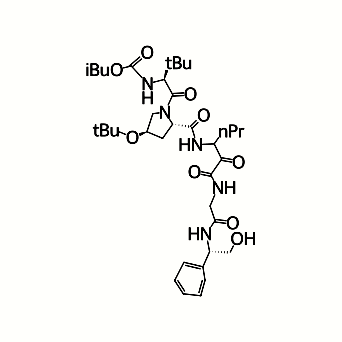 CCCC(NC(=O)[C@@H]1C[C@@H](OC(C)(C)C)CN1C(=O)[C@@H](NC(=O)OCC(C)C)C(C)(C)C)C(=O)C(=O)NCC(=O)N[C@H](CO)c1ccccc1